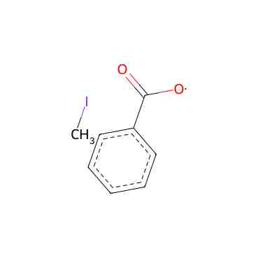 CI.[O]C(=O)c1ccccc1